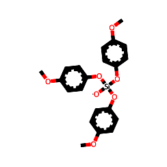 COc1ccc(O[Si]([O])(Oc2ccc(OC)cc2)Oc2ccc(OC)cc2)cc1